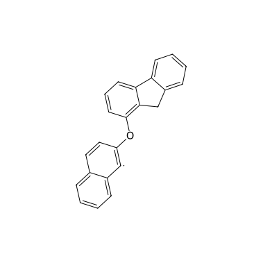 [c]1c(Oc2cccc3c2Cc2ccccc2-3)ccc2ccccc12